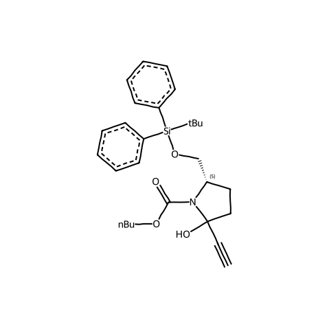 C#CC1(O)CC[C@@H](CO[Si](c2ccccc2)(c2ccccc2)C(C)(C)C)N1C(=O)OCCCC